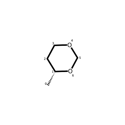 C[C@@H]1CCOCO1